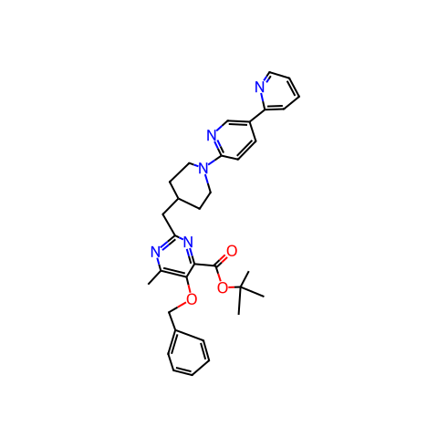 Cc1nc(CC2CCN(c3ccc(-c4ccccn4)cn3)CC2)nc(C(=O)OC(C)(C)C)c1OCc1ccccc1